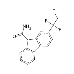 NC(=O)C1c2ccccc2-c2ccc(C(F)(F)CF)cc21